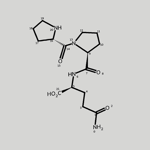 NC(=O)CC[C@H](NC(=O)[C@@H]1CCCN1C(=O)[C@@H]1CCCN1)C(=O)O